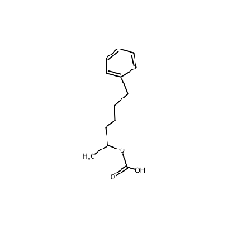 CC(CCCCc1ccccc1)OC(=O)O